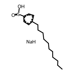 CCCCCCCCCCCc1ccc(S(=O)O)cc1.[NaH]